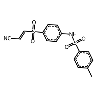 Cc1ccc(S(=O)(=O)Nc2ccc(S(=O)(=O)C=CC#N)cc2)cc1